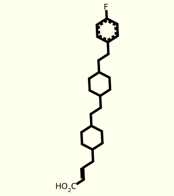 O=C(O)C=CCC1CCC(CCC2CCC(CCc3ccc(F)cc3)CC2)CC1